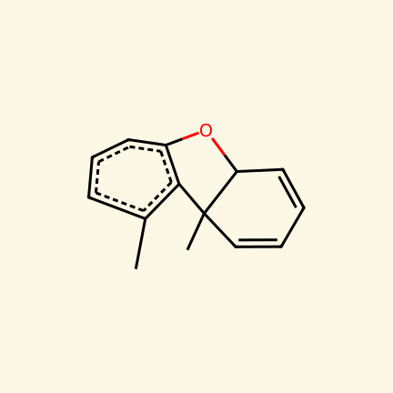 Cc1cccc2c1C1(C)C=CC=CC1O2